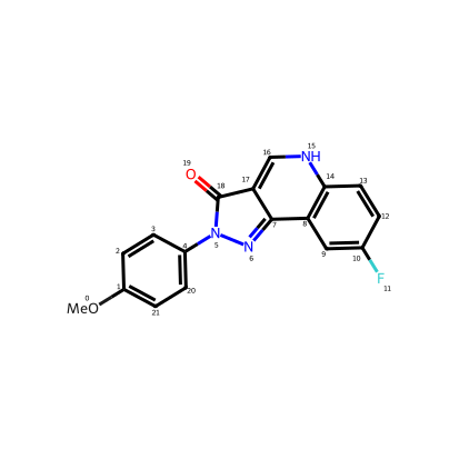 COc1ccc(-n2nc3c4cc(F)ccc4[nH]cc-3c2=O)cc1